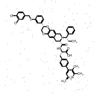 C=C/C=C(\C(C)=C(\C)N)c1ccc(C[C@H](NC(=O)[C@@H]2Cc3cc4c(cc3CN2[C@@H](CC)c2ccccc2)O[C@@H](c2cccc(OCc3ccc(Cl)c(Cl)c3)c2)CO4)C(=O)O)cc1